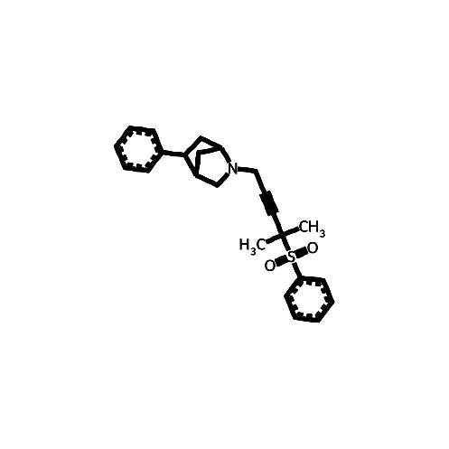 CC(C)(C#CCN1CC2CC1CC2c1ccccc1)S(=O)(=O)c1ccccc1